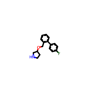 Fc1ccc(-c2ccccc2COC2CCNC2)cc1